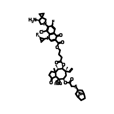 C=C[C@@]1(C)C[C@H](OC(=O)CSC2CC3CCC(C2)N3C)[C@@](C)(CCCC)C2C(=O)CCC2(C)[C@H](C)[C@H]1OC(=O)CCCOC(=O)c1cn(C2C[C@@H]2F)c2c(Cl)c(N3C[C@@H](N)C4(CC4)C3)c(F)cc2c1=O